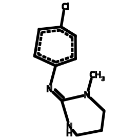 CN1CCCN/C1=N/c1ccc(Cl)cc1